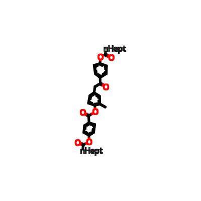 CCCCCCCC(=O)Oc1ccc(C(=O)Cc2ccc(OC(=O)c3ccc(OC(=O)CCCCCCC)cc3)c(C)c2)cc1